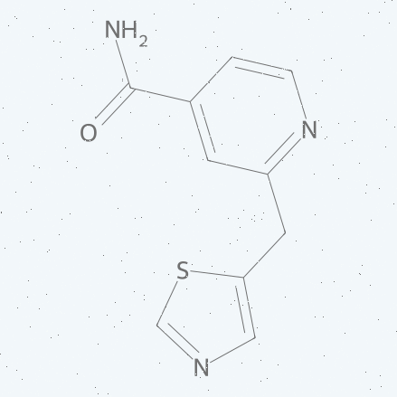 NC(=O)c1ccnc(Cc2cncs2)c1